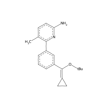 Cc1ccc(N)nc1-c1cccc(C(OC(C)(C)C)=C2CC2)c1